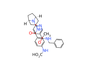 Cc1cc(NC(=O)O)ccc1C(=O)N[C@H]1C[C@H]2CC[C@@H](C1)N2c1ccc(C(=O)NCc2ccccc2)cn1